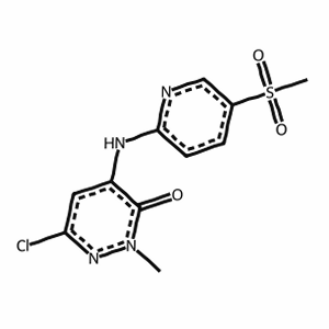 Cn1nc(Cl)cc(Nc2ccc(S(C)(=O)=O)cn2)c1=O